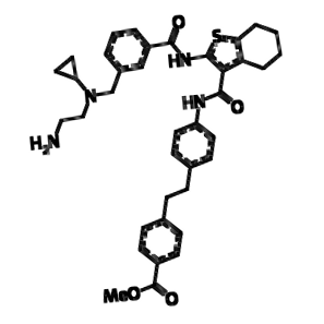 COC(=O)c1ccc(CCc2ccc(NC(=O)c3c(NC(=O)c4cccc(CN(CCN)C5CC5)c4)sc4c3CCCC4)cc2)cc1